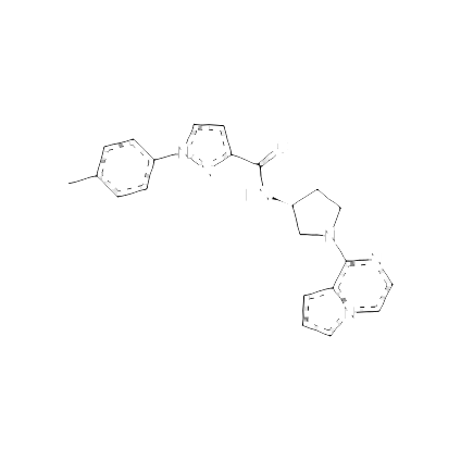 Cc1ccc(-n2ccc(C(=O)N[C@H]3CCN(c4nccn5cccc45)C3)n2)cc1